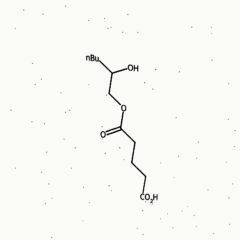 CCCCC(O)COC(=O)CCCC(=O)O